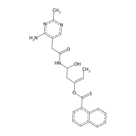 CC=C(CC(O)NC(=O)Cc1cnc(C)nc1N)OC(=S)c1cccc2ccccc12